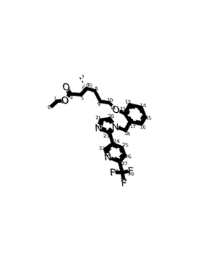 CCOC(=O)C[C@H](C)CCCOc1ccccc1Cn1ccnc1-c1ccc(C(F)(F)F)nc1